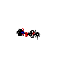 Cc1cc(C(=O)OCCN2C(=O)[C@@H]3[C@H](C2=O)[C@H]2C=C[C@@H]3C2)cc(C)c1OCc1ccccc1